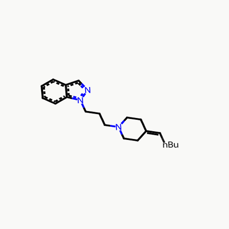 CCCCC=C1CCN(CCCn2ncc3ccccc32)CC1